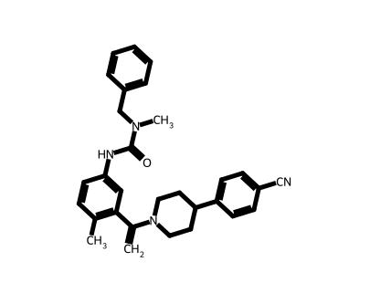 C=C(c1cc(NC(=O)N(C)Cc2ccccc2)ccc1C)N1CCC(c2ccc(C#N)cc2)CC1